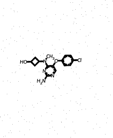 CN(c1nc(N)ncc1Oc1ccc(Cl)cc1)C1CC(O)C1